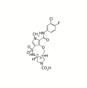 Cn1cc2c(c1C(=O)Nc1ccc(F)c(Cl)c1)OC[C@@H]1CN(C(=O)O)C[C@@H]1NS2(=O)=O